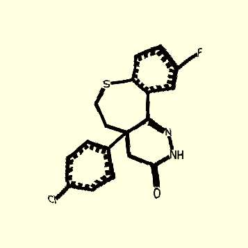 O=C1CC2(c3ccc(Cl)cc3)CCSc3ccc(F)cc3C2=NN1